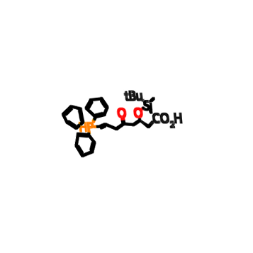 CC(C)(C)[Si](C)(C)O[C@@H](CC(=O)O)CC(=O)CC=C[PH](c1ccccc1)(c1ccccc1)c1ccccc1